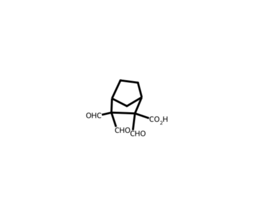 O=CC1(C=O)C2CCC(C2)C1(C=O)C(=O)O